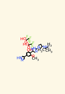 COc1cc(-c2cn[nH]c2)cc(O)c1-c1cnc(N2CCC(NC(C)(C)C)C2)nn1.O=C(O)C(F)(F)F.O=C(O)C(F)(F)F